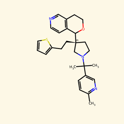 Cc1ccc(C(C)(C)N2CC[C@@](CCc3cccs3)(C3OCCc4cnccc43)C2)cn1